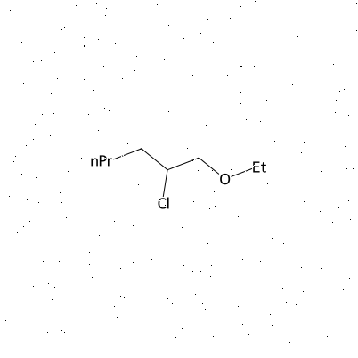 CCCCC(Cl)COCC